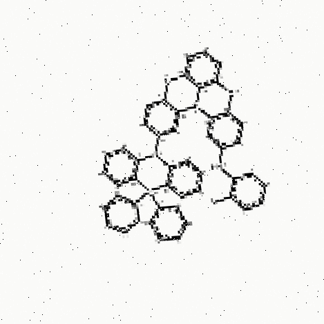 Cc1ccccc1Nc1ccc2c(c1)B1c3cc(N4c5ccccc5[Si](c5ccccc5)(c5ccccc5)c5ccccc54)ccc3Oc3cccc(c31)O2